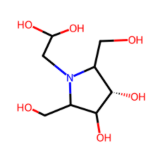 OCC1C(O)[C@@H](O)C(CO)N1CC(O)O